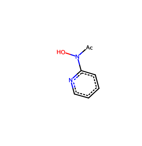 CC(=O)N(O)c1ccccn1